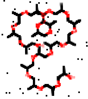 CC(O)COC(C)COC(C)COC(C)COC(C)COC(C)COC(C)COC(C)COC(C)COC(C)COC(C)COC(C)COC(C)COC(C)COC(C)COC(C)CO